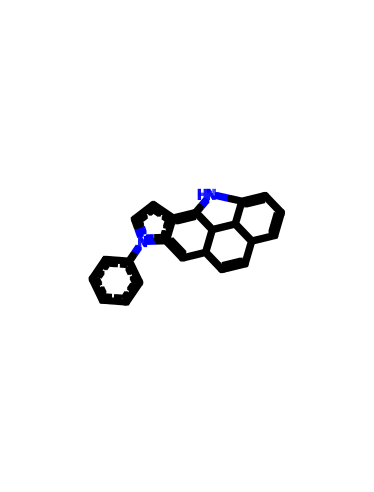 C1=CC2C=CC3C=c4c(ccn4-c4ccccc4)=C4NC(=C1)C2C43